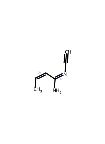 C#C/N=C(N)\C=C/C